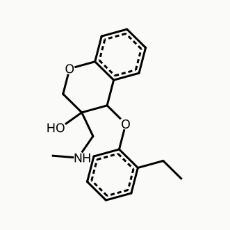 CCc1ccccc1OC1c2ccccc2OCC1(O)CNC